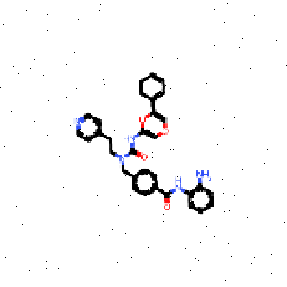 Nc1ccccc1NC(=O)c1ccc(CN(CCc2ccncc2)C(=O)NC2=COC=C(C3=CC=CCC3)O2)cc1